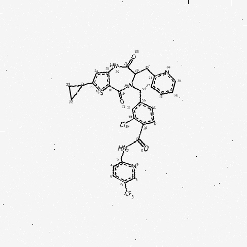 O=C(Nc1ccc(C(F)(F)F)cn1)c1ccc(CN2C(=O)c3sc(C4CC4)cc3NC(=O)C2Cc2ccccn2)cc1Cl